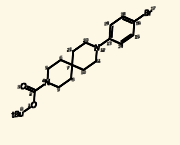 CC(C)(C)OC(=O)N1CCC2(CC1)CCN(c1ccc(Br)cc1)CC2